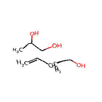 C=CC.CC(O)CO.CCO